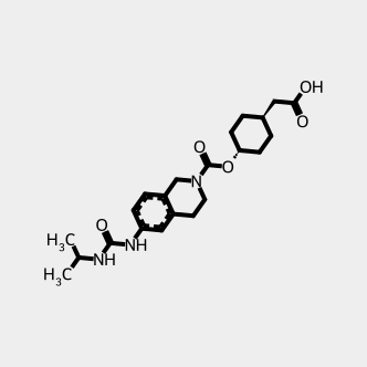 CC(C)NC(=O)Nc1ccc2c(c1)CCN(C(=O)O[C@H]1CC[C@H](CC(=O)O)CC1)C2